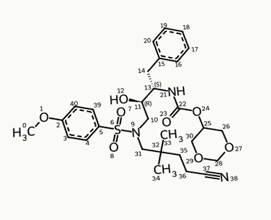 COc1ccc(S(=O)(=O)N(C[C@@H](O)[C@H](Cc2ccccc2)NC(=O)OC2COCOC2)CC(C)(C)CCC#N)cc1